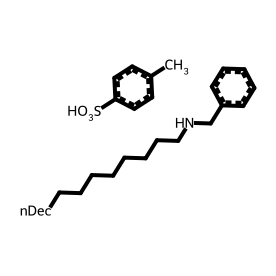 CCCCCCCCCCCCCCCCCCNCc1ccccc1.Cc1ccc(S(=O)(=O)O)cc1